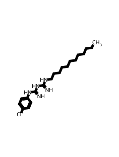 CCCCCCCCCCCCNC(=N)NC(=N)Nc1ccc(Cl)cc1